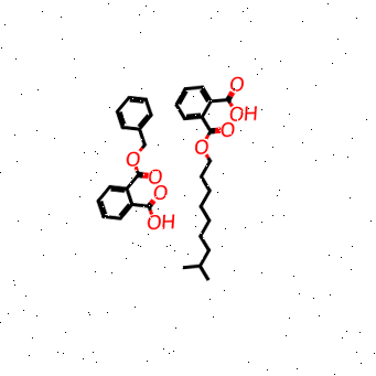 CC(C)CCCCCCCOC(=O)c1ccccc1C(=O)O.O=C(O)c1ccccc1C(=O)OCc1ccccc1